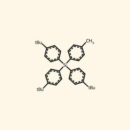 Cc1ccc([Si](c2ccc(C(C)(C)C)cc2)(c2ccc(C(C)(C)C)cc2)c2ccc(C(C)(C)C)cc2)cc1